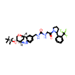 CC(C)(C)[Si](C)(C)O[C@@H]1CO[C@@H]2C[C@H]1Nc1ccc(CNC(=O)NCC(=O)N3CCCC3c3ccccc3C(F)(F)F)cc12